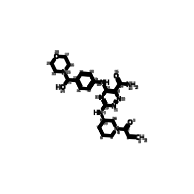 C=CC(=O)N1CCC[C@@H](Nc2nnc(C(N)=O)c(Nc3ccc(C(O)N4CCOCC4)cc3)n2)C1